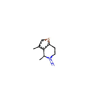 Cc1csc2c1C(C)NCC2